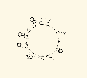 CCCC[C@H]1C(=O)N(C)[C@@H](CCCC)C(=O)N[C@@H](C)C(=O)N[C@H](C(=O)NCC(N)=O)CSCC(=O)N[C@@H](Cc2ccc(O)cc2)C(=O)N(C)[C@@H](C)C(=O)N[C@@H](CC(=O)O)C(=O)N2CCC[C@H]2C(=O)N[C@@H](Cc2c[nH]cn2)C(=O)N[C@@H](CCC(=O)O)C(=O)N2C[C@H](Cc3ccccc3)C[C@H]2C(=O)N[C@@H](Cc2c[nH]c3ccccc23)C(=O)N[C@@H](CCN)C(=O)N[C@@H](Cc2c[nH]c3ccccc23)C(=O)N1C